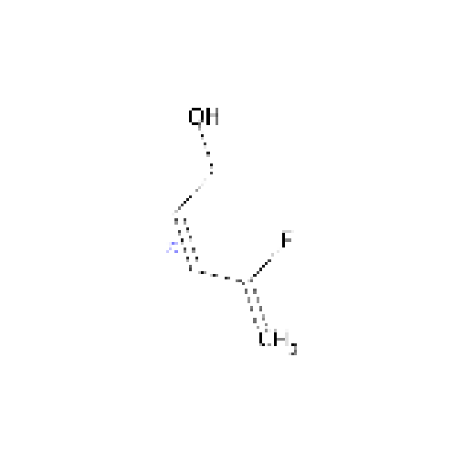 C=C(F)/C=C\CO